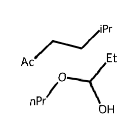 CC(=O)CCC(C)C.CCCOC(O)CC